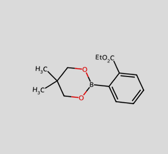 CCOC(=O)c1ccccc1B1OCC(C)(C)CO1